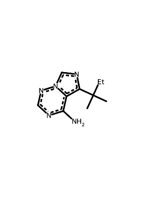 CCC(C)(C)c1ncn2ncnc(N)c12